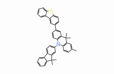 Cc1ccc2c(c1)C(C)(C)c1cc(-c3ccc4sc5ccccc5c4c3)ccc1N2c1ccc2c(c1)C(C)(C)c1ccccc1-2